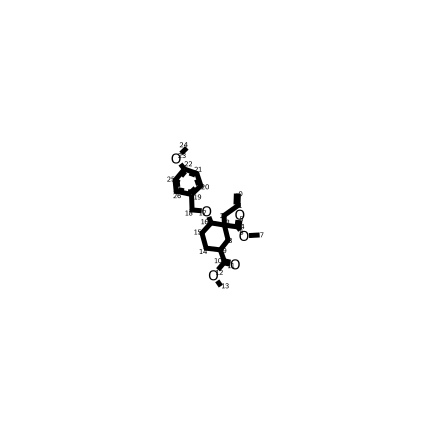 C=CCC1(C(=O)OC)CC(C(=O)OC)CCC1OCc1ccc(OC)cc1